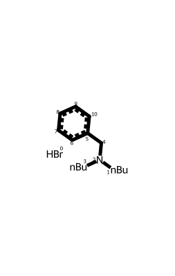 Br.CCCCN(CCCC)Cc1ccccc1